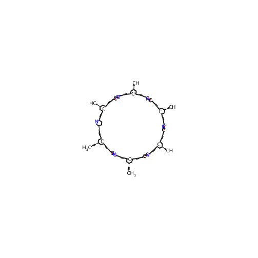 C#Cc1cc2c#cc3ccc(c#cc4cc(C#C)cc(c#cc5ccc(c#cc6cc(C#C)cc(c#cc7ccc(c#cc8cc(C#C)cc(c#cc9ccc(c#cc%10cc(C#CC)cc(c#cc%11ccc(c#cc%12cc(C#CC)cc(c#cc%13ccc(c#cc(c1)c2)nc%13)c%12)cn%11)c%10)cn9)c8)cn7)c6)cn5)c4)nc3